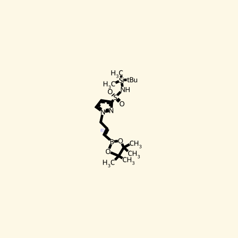 CC1(C)OB(/C=C/Cn2ccc(S(=O)(=O)N[Si](C)(C)C(C)(C)C)n2)OC1(C)C